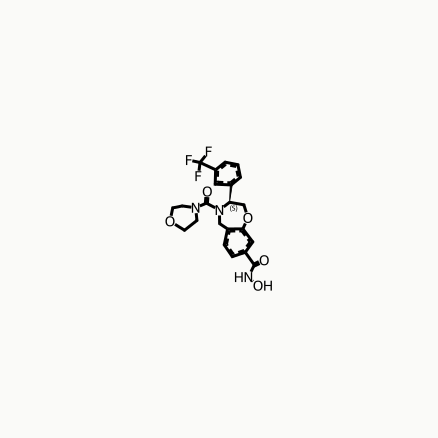 O=C(NO)c1ccc2c(c1)OC[C@H](c1cccc(C(F)(F)F)c1)N(C(=O)N1CCOCC1)C2